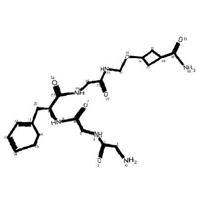 NCC(=O)NCC(=O)N[C@@H](CC1=CC=CCC1)C(=O)NCC(=O)NCOC1CC(C(N)=O)C1